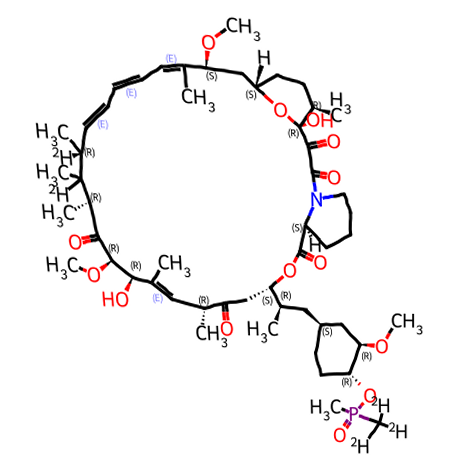 [2H]C1(C)[C@@H](C)C(=O)[C@H](OC)[C@H](O)/C(C)=C/[C@@H](C)C(=O)C[C@@H]([C@H](C)C[C@@H]2CC[C@@H](OP(C)(=O)C([2H])([2H])[2H])[C@H](OC)C2)OC(=O)[C@@H]2CCCCN2C(=O)C(=O)[C@]2(O)O[C@@H](CC[C@H]2C)C[C@H](OC)/C(C)=C/C=C/C=C/[C@@]1([2H])C